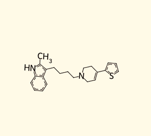 Cc1[nH]c2ccccc2c1CCCCN1CC=C(c2cccs2)CC1